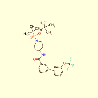 CC(C)(C)COP(=O)(N1CCC(NC(=O)c2cccc(-c3cccc(OC(F)(F)F)c3)c2)CC1)C(C)(C)C